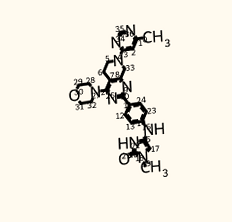 Cc1cc(N2CCc3c(nc(-c4ccc(Nc5cn(C)c(=O)[nH]5)cc4)nc3N3CCOCC3)C2)ncn1